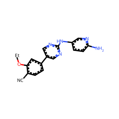 CCOc1cc(-c2cnc(Nc3ccc(N)nc3)nc2)ccc1C#N